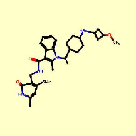 CSc1cc(C)[nH]c(=O)c1CNC(=O)c1c(C)n([C@H](C)C2CCC(NC3CC(OC(F)(F)F)C3)CC2)c2ccccc12